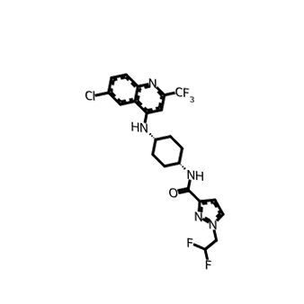 O=C(N[C@H]1CC[C@@H](Nc2cc(C(F)(F)F)nc3ccc(Cl)cc23)CC1)c1ccn(CC(F)F)n1